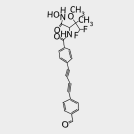 COC(C)(C(F)F)C(NC(=O)c1ccc(C#CC#Cc2ccc(C=O)cc2)cc1)C(=O)NO